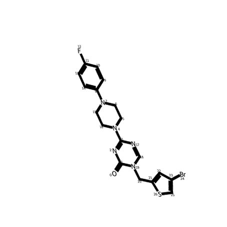 O=c1nc(N2CCN(c3ccc(F)cc3)CC2)ncn1Cc1cc(Br)cs1